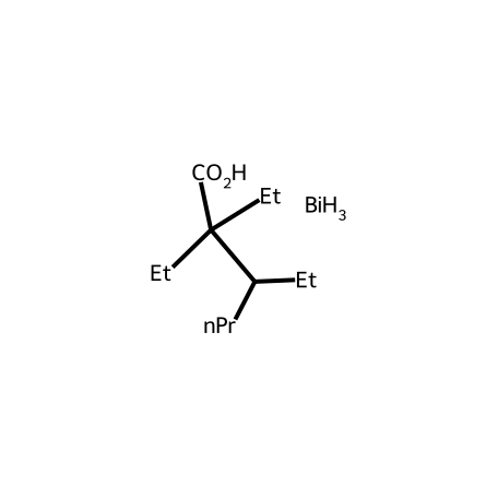 CCCC(CC)C(CC)(CC)C(=O)O.[BiH3]